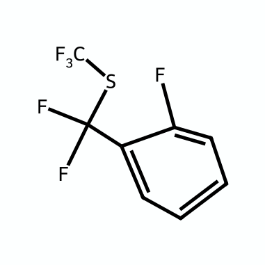 Fc1ccccc1C(F)(F)SC(F)(F)F